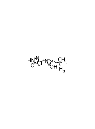 CC(C)CC[C@H]1CN(CC2=CCc3c2nc[nH]c3=O)C[C@@H]1O